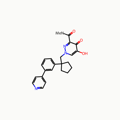 CNC(=O)c1nn(CC2(c3cccc(-c4ccncc4)c3)CCCC2)cc(O)c1=O